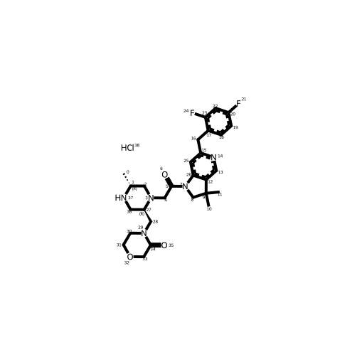 C[C@@H]1CN(CC(=O)N2CC(C)(C)c3cnc(Cc4ccc(F)cc4F)cc32)[C@@H](CN2CCOCC2=O)CN1.Cl